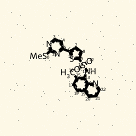 CSc1nccc(-c2ccc(S(=O)(=O)Nc3c(C)ccc4cccnc34)s2)n1